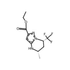 CCOC(=O)c1cc2n(n1)[C@H](C(F)(F)F)C[C@H](C)N2